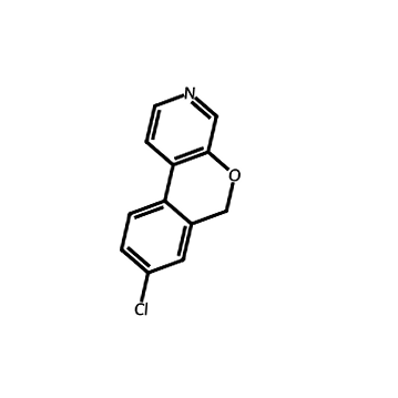 Clc1ccc2c(c1)COc1cnccc1-2